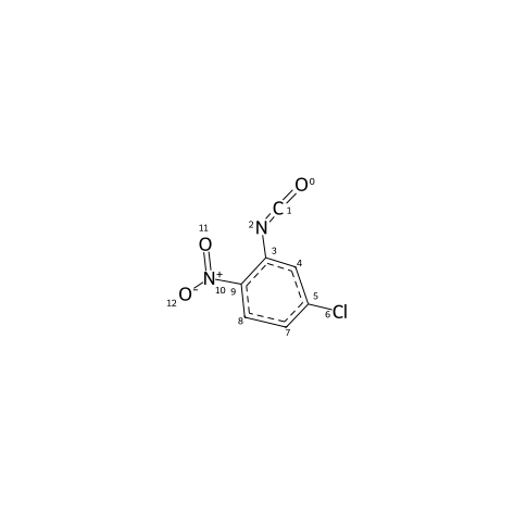 O=C=Nc1cc(Cl)ccc1[N+](=O)[O-]